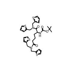 CC(C)(C)OC(=O)NC(CCCC(=O)N(Cc1cccs1)Cc1cccs1)C(=O)N(Cc1cccs1)Cc1cccs1